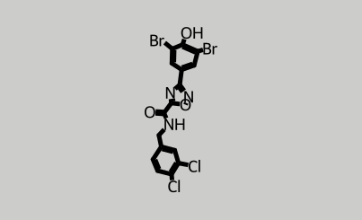 O=C(NCc1ccc(Cl)c(Cl)c1)c1nc(-c2cc(Br)c(O)c(Br)c2)no1